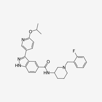 CC(C)Oc1ccc(-c2n[nH]c3ccc(C(=O)NC4CCCN(Cc5ccccc5F)C4)cc23)cn1